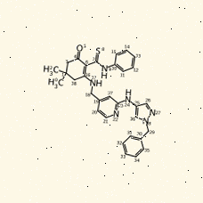 CC1(C)CC(=O)C(C(=S)Nc2ccccc2)=C(NCc2ccnc(Nc3cnn(Cc4ccccc4)c3)c2)C1